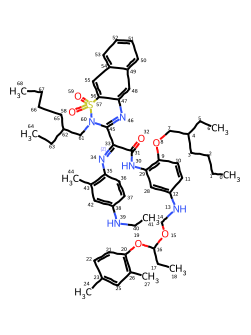 CCCCC(CC)COc1ccc(NCOC(CC)Oc2ccc(C)cc2C)cc1NC(=O)/C(=N\c1ccc(NCC)cc1C)C1=Nc2cc3ccccc3cc2S(=O)(=O)N1CC(CC)CCCC